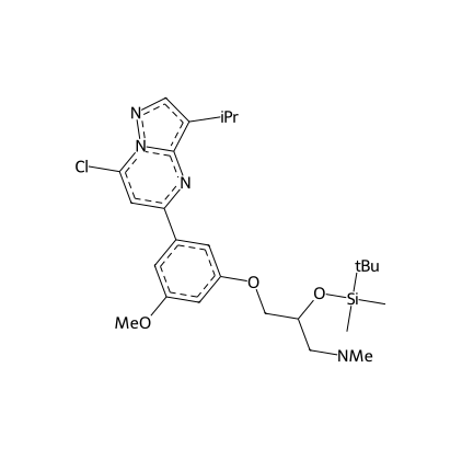 CNCC(COc1cc(OC)cc(-c2cc(Cl)n3ncc(C(C)C)c3n2)c1)O[Si](C)(C)C(C)(C)C